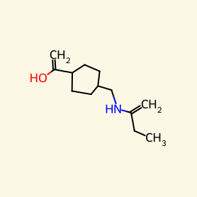 C=C(CC)NCC1CCC(C(=C)O)CC1